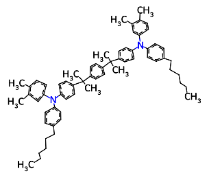 CCCCCCc1ccc(N(c2ccc(C(C)(C)c3ccc(C(C)(C)c4ccc(N(c5ccc(CCCCCC)cc5)c5ccc(C)c(C)c5)cc4)cc3)cc2)c2ccc(C)c(C)c2)cc1